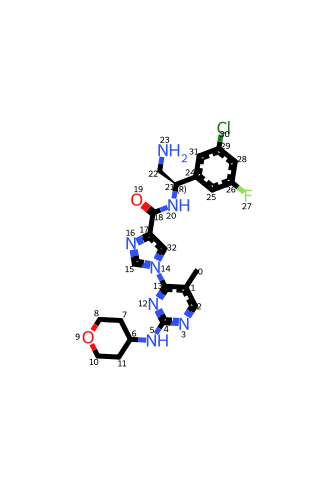 Cc1cnc(NC2CCOCC2)nc1-n1cnc(C(=O)N[C@@H](CN)c2cc(F)cc(Cl)c2)c1